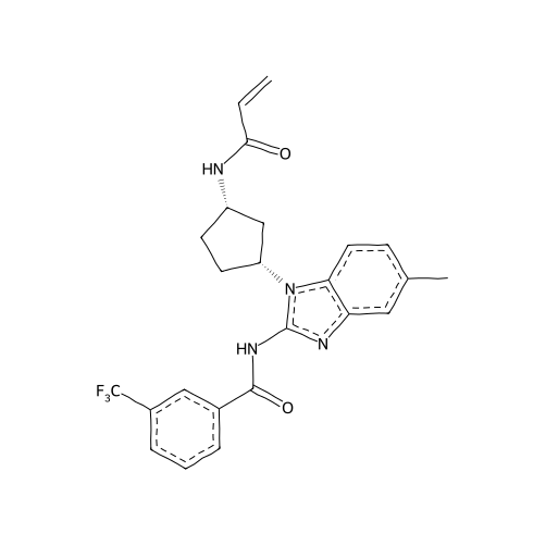 C=CC(=O)N[C@H]1CC[C@@H](n2c(NC(=O)c3cccc(C(F)(F)F)c3)nc3cc(C)ccc32)C1